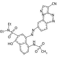 CCN(CC)S(=O)(=O)c1cc(/N=N/c2ccc3nnc4c(C#N)cnn4c3c2)c2c(NS(C)(=O)=O)cccc2c1O